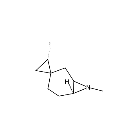 C[C@H]1CC12CC[C@H]1C(C2)N1C